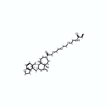 C=CC(=O)NCCOCCOCCOCC(=O)N1CC[C@@H]2C[C@H](Cc3c(F)ccc4c3CCO4)CN(C)[C@H]2CC1